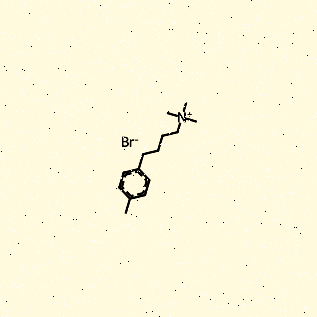 Cc1ccc(CCCC[N+](C)(C)C)cc1.[Br-]